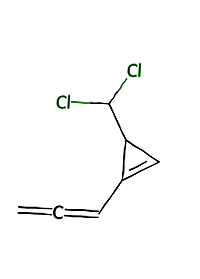 C=C=CC1=CC1C(Cl)Cl